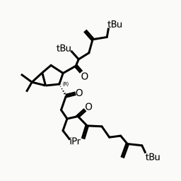 C=C(CCCC(=C)C(=O)C(CC(=O)[C@H]1C(C(=O)C(CC(=C)CC(C)(C)C)C(C)(C)C)CC2C1C2(C)C)CC(C)C)CC(C)(C)C